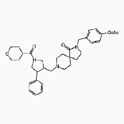 COc1ccc(CN2CCC3(CCN(CC4CN(C(=O)C5CCOCC5)CC4c4ccccc4)CC3)C2=O)cc1